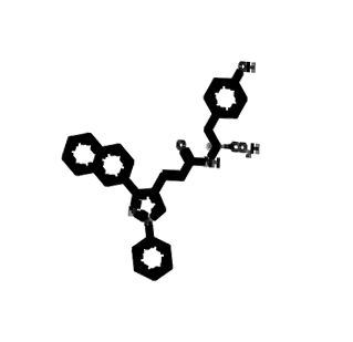 O=C(C=Cc1cn(-c2ccccc2)nc1-c1ccc2ccccc2c1)N[C@H](Cc1ccc(O)cc1)C(=O)O